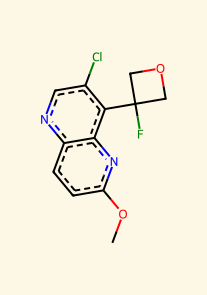 COc1ccc2ncc(Cl)c(C3(F)COC3)c2n1